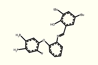 Bc1cc(Oc2ccccc2/N=C/c2cc(C(C)(C)C)cc(C(C)(C)C)c2O)c(F)cc1P